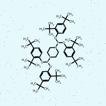 CC(C)(C)c1ccc(OP(Oc2ccc(C(C)(C)C)cc2C(C)(C)C)N2CCN(P(Oc3ccc(C(C)(C)C)cc3C(C)(C)C)Oc3ccc(C(C)(C)C)cc3C(C)(C)C)CC2)c(C(C)(C)C)c1